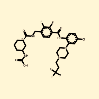 O=C(O)NC1CCC[C@@H](C(=O)NCc2ccc(C(=O)Nc3ccc(Cl)cc3N3CCN(CCC(F)(F)F)CC3)c(F)c2F)C1